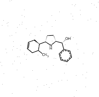 CC1CC=CC[C@H]1[C@@H]1CC[C@H]([C@H](O)c2ccccc2)N1